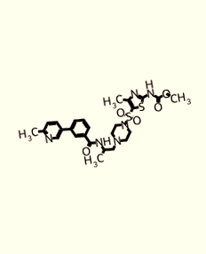 COC(=O)Nc1nc(C)c(S(=O)(=O)N2CCN(CC(C)NC(=O)c3cccc(-c4ccc(C)nc4)c3)CC2)s1